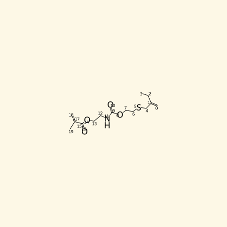 C=C(CC)CSCCOC(=O)NCCOC(=O)C(=C)C